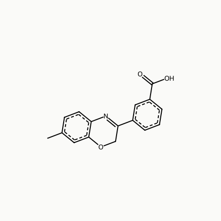 Cc1ccc2c(c1)OCC(c1cccc(C(=O)O)c1)=N2